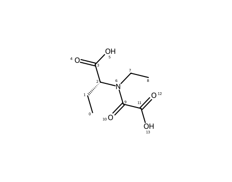 CC[C@H](C(=O)O)N(CC)C(=O)C(=O)O